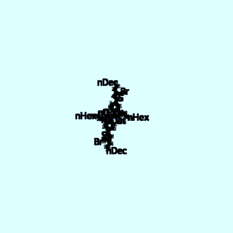 CCCCCCCCCCCCc1cc(-c2ccc3c(c2)N(CC(CCCCCC)CCCCCCCC)C(=O)/C3=C2/C(=O)N(CC(CCCCCC)CCCCCCCC)c3cc(-c4cc(CCCCCCCCCCCC)c(Br)s4)ccc32)sc1Br